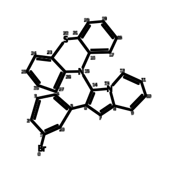 Brc1cccc(-c2cc3ccccn3c2N2c3ccccc3Sc3ccccc32)c1